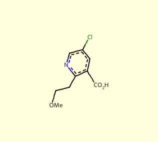 COCCc1ncc(Cl)cc1C(=O)O